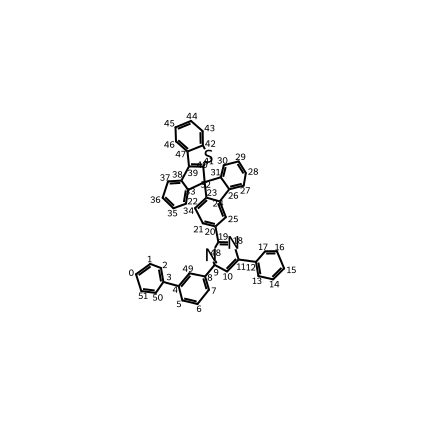 c1ccc(-c2cccc(-c3cc(-c4ccccc4)nc(-c4ccc5c(c4)-c4ccccc4C54c5ccccc5-c5c4sc4ccccc54)n3)c2)cc1